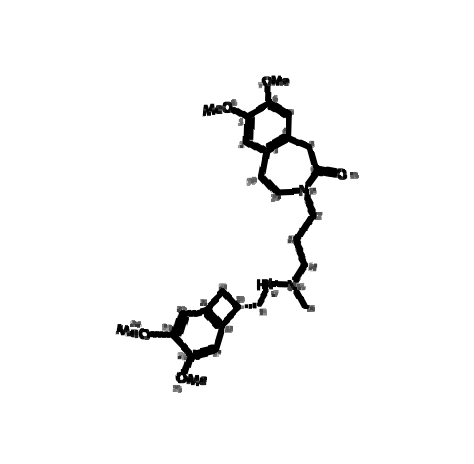 COc1cc2c(cc1OC)CC(=O)N(CCCN(C)NC[C@H]1Cc3cc(OC)c(OC)cc31)CC2